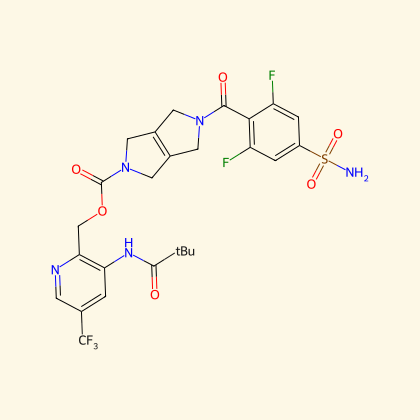 CC(C)(C)C(=O)Nc1cc(C(F)(F)F)cnc1COC(=O)N1CC2=C(C1)CN(C(=O)c1c(F)cc(S(N)(=O)=O)cc1F)C2